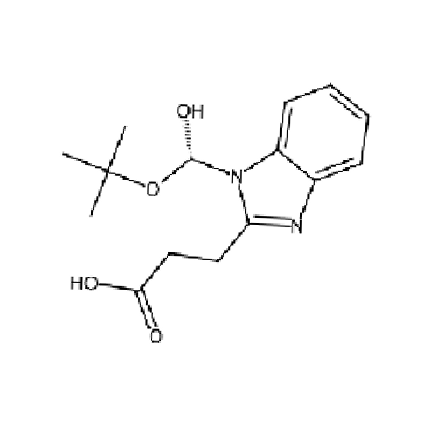 CC(C)(C)O[C@H](O)n1c(CCC(=O)O)nc2ccccc21